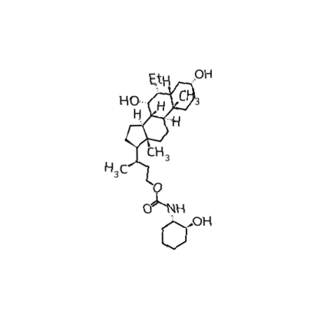 CC[C@H]1[C@@H](O)[C@@H]2[C@H](CC[C@]3(C)[C@@H]([C@H](C)CCOC(=O)N[C@H]4CCCC[C@@H]4O)CC[C@@H]23)[C@@]2(C)CC[C@@H](O)C[C@@H]12